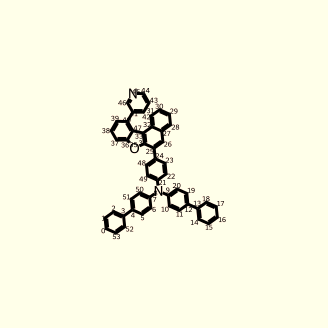 c1ccc(-c2ccc(N(c3ccc(-c4ccccc4)cc3)c3ccc(-c4cc5ccccc5c5c4oc4cccc(-c6cccnc6)c45)cc3)cc2)cc1